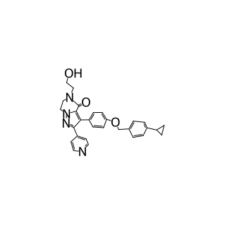 O=C1c2c(-c3ccc(OCc4ccc(C5CC5)cc4)cc3)c(-c3ccncc3)nn2CCN1CCO